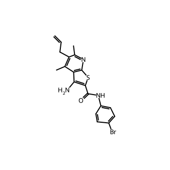 C=CCc1c(C)nc2sc(C(=O)Nc3ccc(Br)cc3)c(N)c2c1C